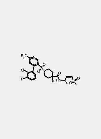 C[C@H](/C=C\S(C)(=O)=O)NC(=O)C1(F)CCN(S(=O)(=O)c2cnc(C(F)(F)F)cc2-c2cccc(F)c2Cl)CC1